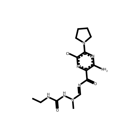 CCNC(=O)NN(C)C=NC(=O)c1nc(Cl)c(N2CCCC2)nc1N